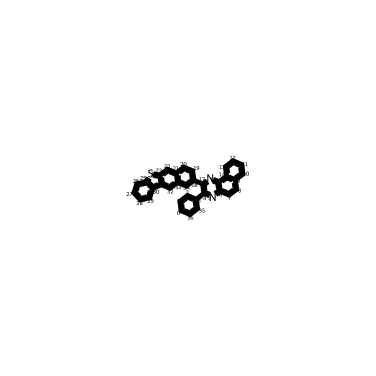 c1ccc(-c2nc3ccc4ccccc4c3nc2-c2ccc3cc4sc5ccccc5c4cc3c2)cc1